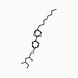 CCCCCCCCc1cnc(-c2ccc(OCC(F)CC(C)CC)cc2)nc1